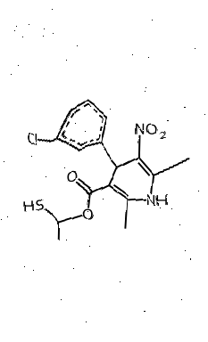 CC1=C(C(=O)OC(C)S)C(c2cccc(Cl)c2)C([N+](=O)[O-])=C(C)N1